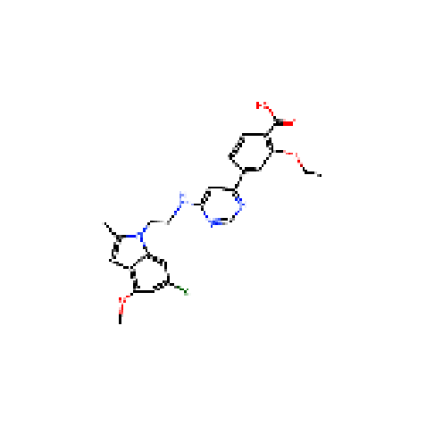 CCOc1cc(-c2cc(NCCn3c(C)cc4c(OC)cc(Cl)cc43)ncn2)ccc1C(=O)O